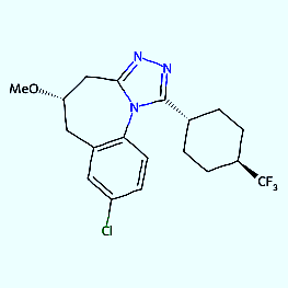 CO[C@H]1Cc2cc(Cl)ccc2-n2c(nnc2[C@H]2CC[C@H](C(F)(F)F)CC2)C1